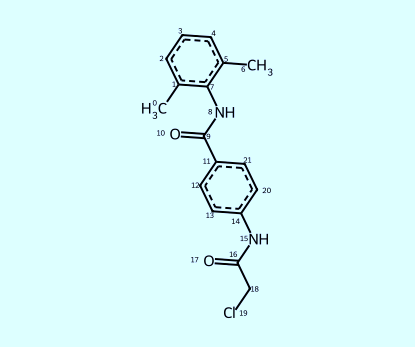 Cc1cccc(C)c1NC(=O)c1ccc(NC(=O)CCl)cc1